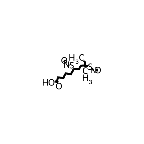 CCC(C)(CCC(CCCCC(=O)O)SN=O)SN=O